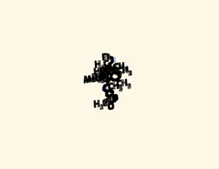 CC/C=C\C(C)[C@H](O)[C@@H](C)[C@@H]1C(C(C)(C)[Si](C)(C)O)[C@H]([C@@H](OCOC)C(C)/C=C\c2ccc3c(c2)N(C)C(=O)CO3)C=C(C)C[C@@H]1C